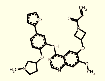 C=CC(=O)N1CC(Oc2cc3c(Nc4cc(-c5ccco5)ccc4OC4CCN(C)C4)ncnc3cc2OC)C1